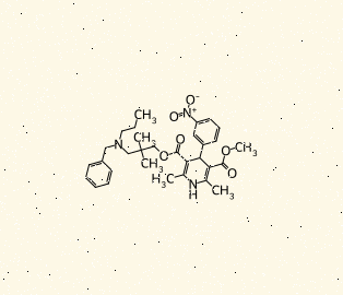 CCCN(Cc1ccccc1)CC(C)(C)COC(=O)C1=C(C)NC(C)=C(C(=O)OC)C1c1cccc([N+](=O)[O-])c1